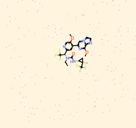 CCN(C(=O)N[C@@H]1C[C@@]1(C)C(F)(F)F)[C@@H](c1cc(-c2cn3ccnc3c(OC)n2)c(OC)cn1)C(F)(F)F